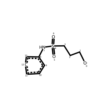 [O]CCCS(=O)(=O)Nc1ccccc1